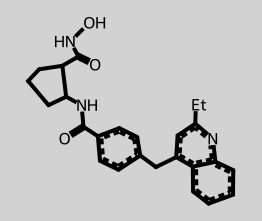 CCc1cc(Cc2ccc(C(=O)NC3CCCC3C(=O)NO)cc2)c2ccccc2n1